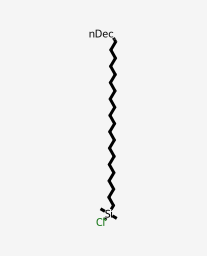 CCCCCCCCCCCCCCCCCCCCCCCCCCCCCCC[Si](C)(C)Cl